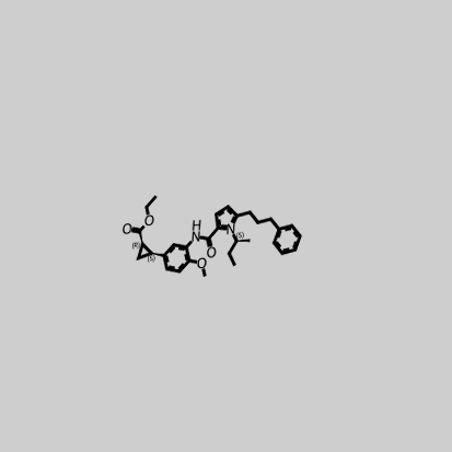 CCOC(=O)[C@@H]1C[C@@H]1c1ccc(OC)c(NC(=O)c2ccc(CCCc3ccccc3)n2[C@@H](C)CC)c1